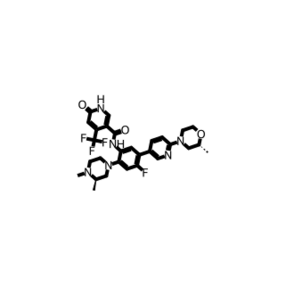 C[C@@H]1CN(c2ccc(-c3cc(NC(=O)c4c[nH]c(=O)cc4C(F)(F)F)c(N4CCN(C)[C@H](C)C4)cc3F)cn2)CCO1